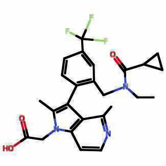 CCN(Cc1cc(C(F)(F)F)ccc1-c1c(C)n(CC(=O)O)c2ccnc(C)c12)C(=O)C1CC1